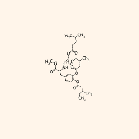 CCC(C)CC(=O)Oc1ccc(C[C@H](NCCOC(=O)CCC(C)C)C(=O)OC)cc1OC(=O)CC(C)CC